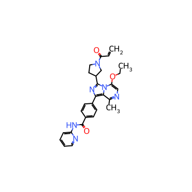 C=CC(=O)N1CCC(c2nc(-c3ccc(C(=O)Nc4ccccn4)cc3)c3c(C)ncc(OCC)n23)C1